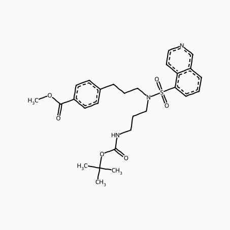 COC(=O)c1ccc(CCCN(CCCNC(=O)OC(C)(C)C)S(=O)(=O)c2cccc3cnccc23)cc1